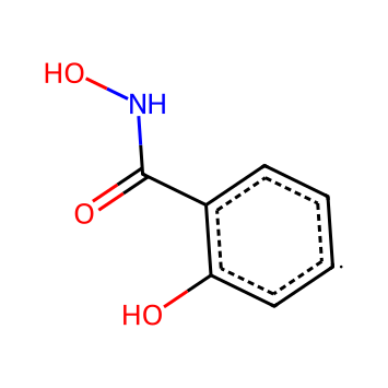 O=C(NO)c1cc[c]cc1O